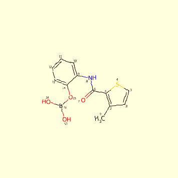 Cc1ccsc1C(=O)Nc1ccccc1OB(O)O